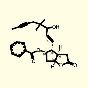 CC#CCC(C)(C)C(O)/C=C/[C@@H]1[C@H]2CC(=O)O[C@H]2C[C@H]1OC(=O)c1ccccc1